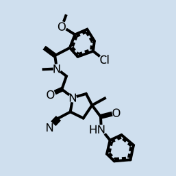 C=C(c1cc(Cl)ccc1OC)N(C)CC(=O)N1CC(C)(C(=O)Nc2ccccc2)CC1C#N